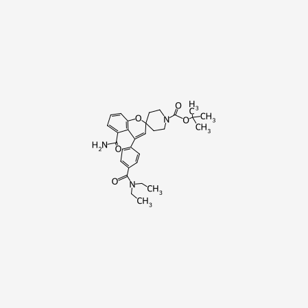 CCN(CC)C(=O)c1ccc(C2=CC3(CCN(C(=O)OC(C)(C)C)CC3)Oc3cccc(C(N)=O)c32)cc1